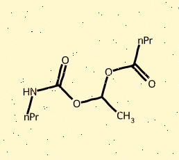 [CH2]CCNC(=O)OC(C)OC(=O)CCC